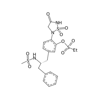 CCS(=O)(=O)Oc1cc(C[C@H](Cc2ccccc2)NS(C)(=O)=O)ccc1N1CC(=O)NS1(=O)=O